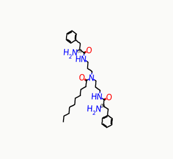 CCCCCCCCCC(=O)N(CCCNC(=O)[C@@H](N)Cc1ccccc1)CCCNC(=O)[C@@H](N)Cc1ccccc1